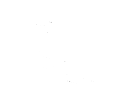 CC(C)(C)OC(=O)NCCC(O)c1cccc(OCCCC(N)=O)c1